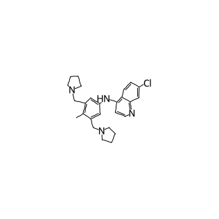 Cc1c(CN2CCCC2)cc(Nc2ccnc3cc(Cl)ccc23)cc1CN1CCCC1